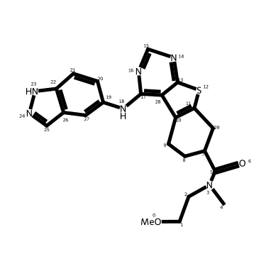 COCCN(C)C(=O)C1CCc2c(sc3ncnc(Nc4ccc5[nH]ncc5c4)c23)C1